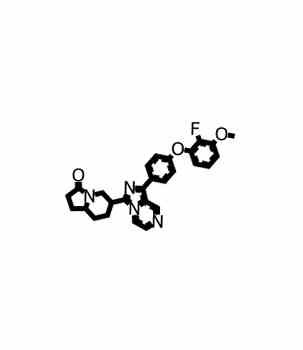 COc1cccc(Oc2ccc(-c3nc(C4CCC5CCC(=O)N5C4)n4ccncc34)cc2)c1F